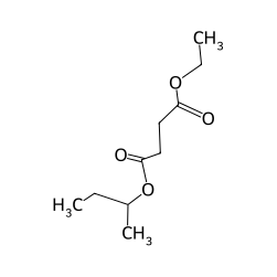 CCOC(=O)CCC(=O)OC(C)CC